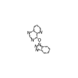 c1cnc2c(On3nnc4ccccc43)ncnc2c1